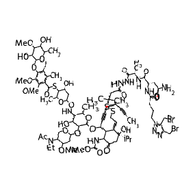 CC#C/C=C\C#C[C@H](OC1OC(C)C(NOC2CC(O)C(SC(=O)c3c(C)c(I)c(OC4OC(C)C(O)C(OC)C4O)c(OC)c3OC)C(C)O2)C(O)C1OC1CC(OC)C(N(CC)C(C)=O)CO1)C1/C(=C\CSSC(C)(C)CC(=O)NNC(=O)[C@H](C)NC(=O)[C@H](CC(N)=O)NC(=O)CCCn2nnc(CBr)c2CBr)[C@](O)(C(C)C)CC(=O)C1NC(=O)OC